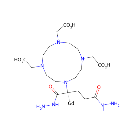 NNC(=O)CC[C@@]([Gd])(C(=O)NN)N1CCN(CC(=O)O)CCN(CC(=O)O)CCN(CC(=O)O)CC1